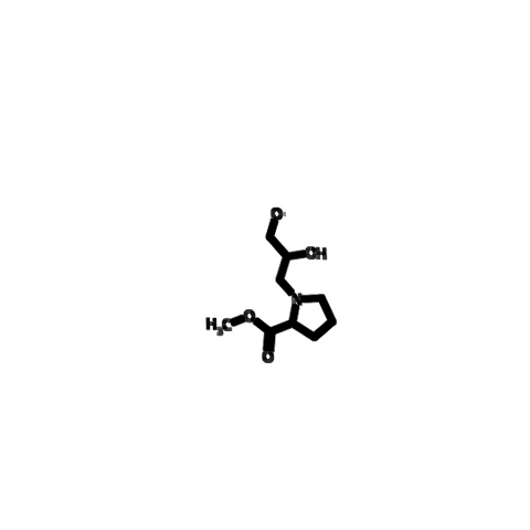 COC(=O)C1CCCN1CC(O)C[O]